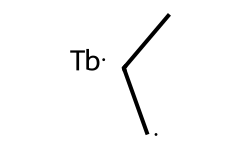 [CH2]CC.[Tb]